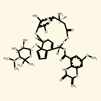 C=C1Oc2cc(OC)cc(C(=O)O[C@H]3COC(=O)C[C@H](N)c4cc(O)c(c(Cl)c4)O[C@@H]4CC=C3C3=CC=CC34O[C@@H]3OC(C)(C)[C@@H](N(C)C)[C@@H](O)[C@H]3O)c2NC1=O